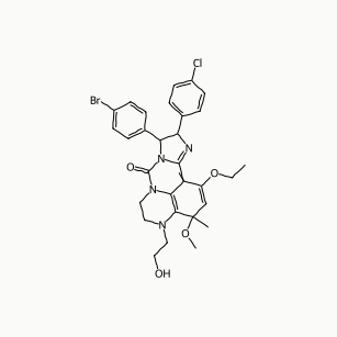 CCOC1=CC(C)(OC)C2=C3N(CCN2CCO)C(=O)N2C(=NC(c4ccc(Cl)cc4)C2c2ccc(Br)cc2)C13C